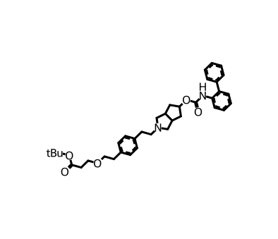 CC(C)(C)OC(=O)CCOCCc1ccc(CCN2CC3CC(OC(=O)Nc4ccccc4-c4ccccc4)CC3C2)cc1